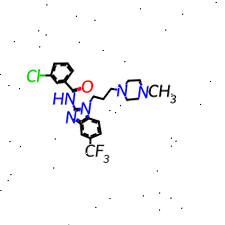 CN1CCN(CCCn2c(NC(=O)c3cccc(Cl)c3)nc3cc(C(F)(F)F)ccc32)CC1